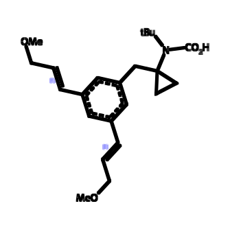 COC/C=C/c1cc(/C=C/COC)cc(CC2(N(C(=O)O)C(C)(C)C)CC2)c1